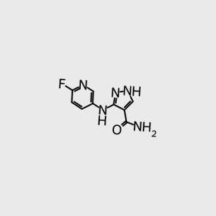 NC(=O)c1c[nH]nc1Nc1ccc(F)nc1